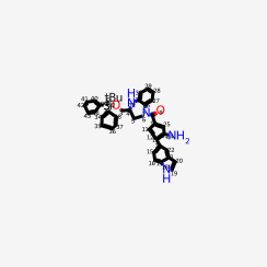 CC(C)(C)[Si](OCC1CCN(C(=O)c2ccc(-c3ccc4[nH]ccc4c3)c(N)c2)c2ccccc2N1)(c1ccccc1)c1ccccc1